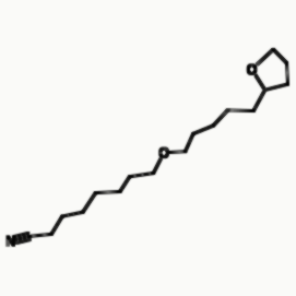 N#CCCCCCCCOCCCCCC1CCCO1